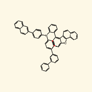 c1ccc(-c2cccc(-c3ccc(N(c4ccc(-c5ccc6ccccc6c5)cc4)c4ccccc4-c4cccc5oc6c7ccccc7ccc6c45)cc3)c2)cc1